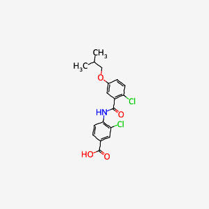 CC(C)COc1ccc(Cl)c(C(=O)Nc2ccc(C(=O)O)cc2Cl)c1